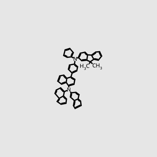 CC1(C)c2ccccc2-c2ccc(N(c3ccccc3)c3ccc(-c4ccc(N(c5ccc6ccccc6c5)c5cccc6ccccc56)c5ccccc45)cc3)cc21